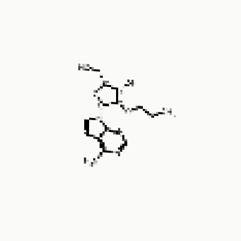 CCCO[C@@H]1[C@@H](O)[C@@H](CO)O[C@H]1n1cnc2c(N)ncnc21